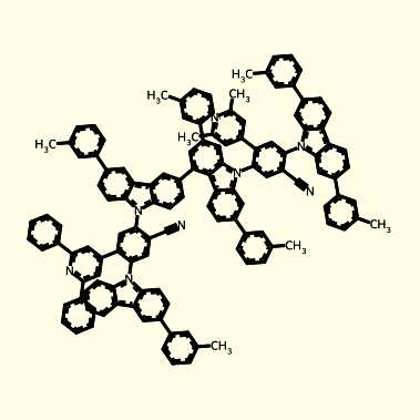 Cc1cccc(-c2ccc3c(c2)c2cc(-c4cc(-c5cccc(C)c5)cc5c4c4ccc(-c6cccc(C)c6)cc4n5-c4cc(C#N)c(-n5c6cc(-c7cccc(C)c7)ccc6c6ccc(-c7cccc(C)c7)cc65)cc4-c4cc(C)nc(C)c4)ccc2n3-c2cc(-c3cc(-c4ccccc4)nc(-c4ccccc4)c3)c(-n3c4ccccc4c4cc(-c5cccc(C)c5)ccc43)cc2C#N)c1